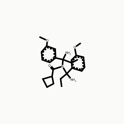 CCC(N)(c1cccc(OC)c1)N(C(=O)C1CCC1)C(N)(CC)c1cccc(OC)c1